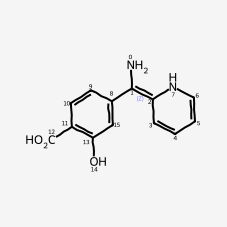 N/C(=C1/C=CC=CN1)c1ccc(C(=O)O)c(O)c1